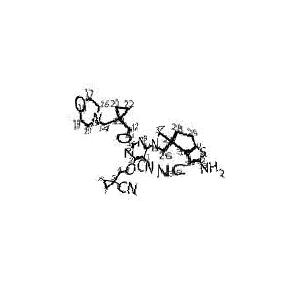 N#Cc1c(OCC2(C#N)CC2)nc(OCC2(CN3CCOCC3)CC2)nc1N1CC2(CCc3sc(N)c(C#N)c32)C1